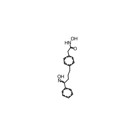 O=C(Cc1ccc(CCCC(=NO)c2ccccc2)cc1)NO